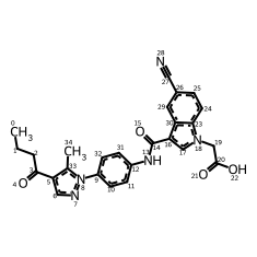 CCCC(=O)c1cnn(-c2ccc(NC(=O)c3cn(CC(=O)O)c4ccc(C#N)cc34)cc2)c1C